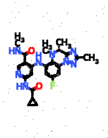 CNC(=O)c1cnc(NC(=O)C2CC2)cc1Nc1cc(F)cc2c1N(C)[C@H](C)c1nc(C)nn1-2